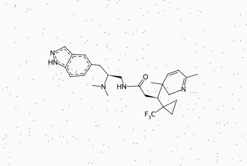 CC1=NCC(C)([C@H](CC(=O)NC[C@H](Cc2ccc3[nH]ncc3c2)N(C)C)C2(C(F)(F)F)CC2)C=C1